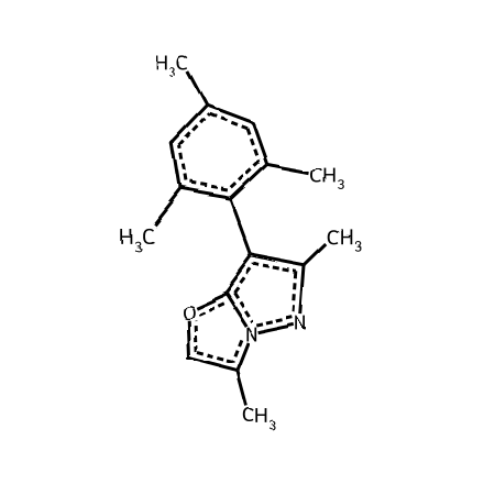 Cc1cc(C)c(-c2c(C)nn3c(C)coc23)c(C)c1